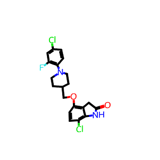 O=C1Cc2c(OCC3CCN(c4ccc(Cl)cc4F)CC3)ccc(Cl)c2N1